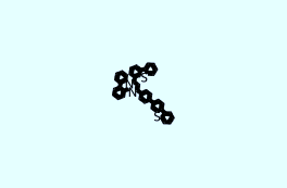 c1ccc(-c2ccccc2-c2nc(-c3ccc(-c4ccc5c(c4)sc4ccccc45)cc3)cc(-c3cccc4c3sc3ccccc34)n2)cc1